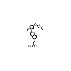 COC1CC(Oc2ccc(F)c(N3CCc4cc(CCC(=O)O)ccc4C3)c2)C1